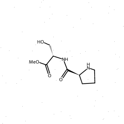 COC(=O)[C@H](CO)NC(=O)[C@@H]1CCCN1